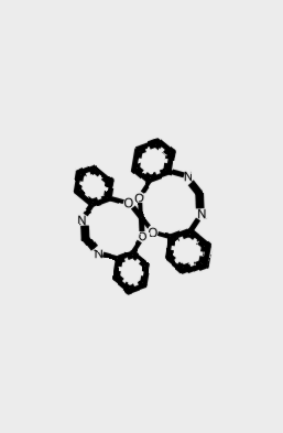 C1=Nc2ccccc2OC2(Oc3ccccc3N=1)Oc1ccccc1N=C=Nc1ccccc1O2